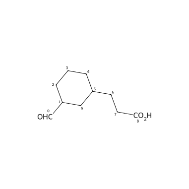 O=CC1CCCC(CCC(=O)O)C1